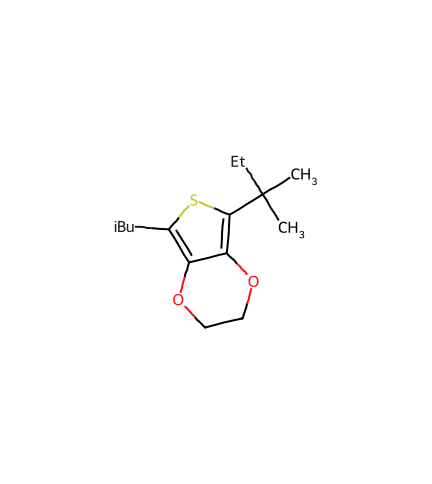 CCC(C)c1sc(C(C)(C)CC)c2c1OCCO2